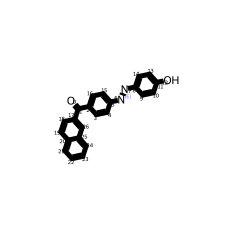 O=C(c1ccc(/N=N/c2ccc(O)cc2)cc1)c1ccc2ccccc2c1